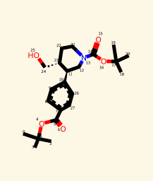 CC(C)(C)OC(=O)c1ccc([C@@H]2CN(C(=O)OC(C)(C)C)CC[C@H]2CO)cc1